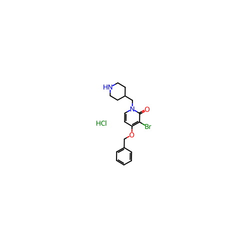 Cl.O=c1c(Br)c(OCc2ccccc2)ccn1CC1CCNCC1